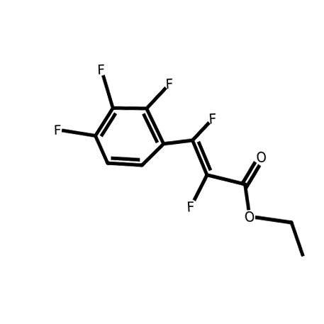 CCOC(=O)C(F)=C(F)c1ccc(F)c(F)c1F